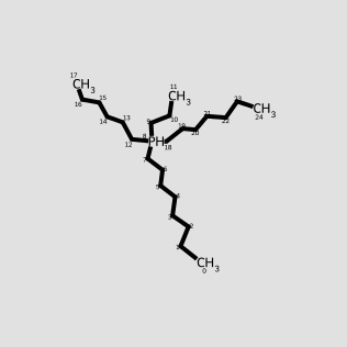 CCCCCCCC[PH](CCC)(CCCCCC)CCCCCCC